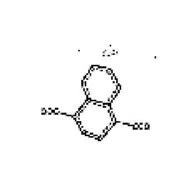 O=C([O-])c1ccc(C(=O)[O-])c2ccccc12.[Co+2]